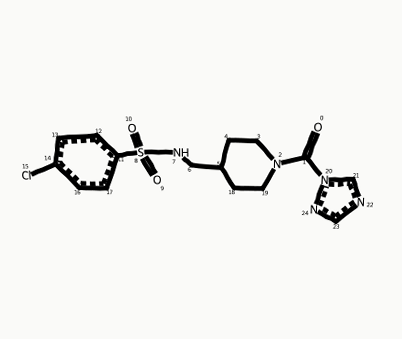 O=C(N1CCC(CNS(=O)(=O)c2ccc(Cl)cc2)CC1)n1cncn1